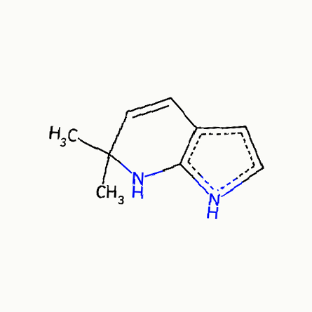 CC1(C)C=Cc2cc[nH]c2N1